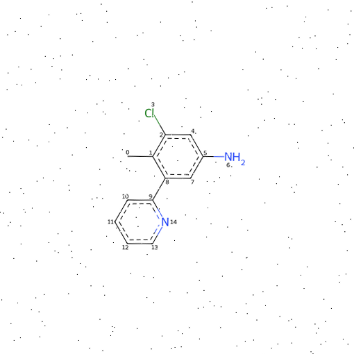 Cc1c(Cl)cc(N)cc1-c1ccccn1